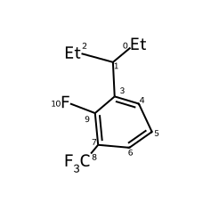 CCC(CC)c1cccc(C(F)(F)F)c1F